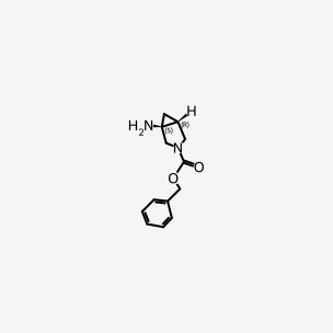 N[C@@]12C[C@@H]1CN(C(=O)OCc1ccccc1)C2